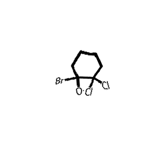 [O]C1(Br)CCCCC1(Cl)Cl